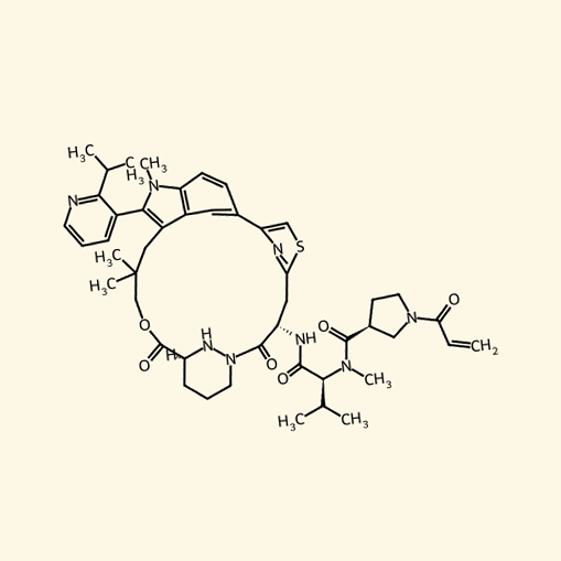 C=CC(=O)N1CC[C@H](C(=O)N(C)[C@H](C(=O)N[C@H]2Cc3nc(cs3)-c3ccc4c(c3)c(c(-c3cccnc3C(C)C)n4C)CC(C)(C)COC(=O)[C@@H]3CCCN(N3)C2=O)C(C)C)C1